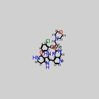 COc1c(Cl)cccc1Nc1c(-c2ccnc3cnc(OCCN4CCOCC4)nc23)[nH]c2c1C(=O)NCC2